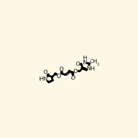 C=C1NC=C(COC(=O)/C=C/C(=O)OCC2CCNC2=O)C(=O)N1